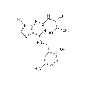 CCC(Nc1nc(NCc2cc(N)ccc2O)c2ncn(C(C)C)c2n1)C(C)O